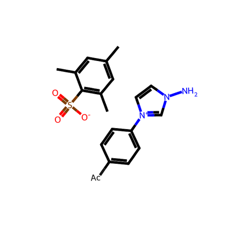 CC(=O)c1ccc(-[n+]2ccn(N)c2)cc1.Cc1cc(C)c(S(=O)(=O)[O-])c(C)c1